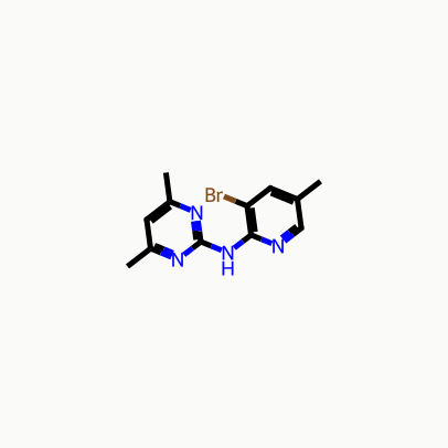 Cc1cnc(Nc2nc(C)cc(C)n2)c(Br)c1